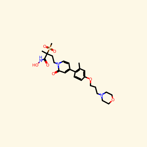 Cc1cc(OCCCN2CCOCC2)ccc1-c1ccn(CCC(C)(C(=O)NO)S(C)(=O)=O)c(=O)c1